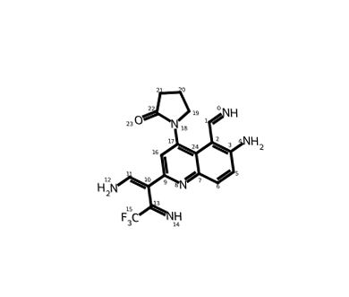 N=Cc1c(N)ccc2nc(/C(=C/N)C(=N)C(F)(F)F)cc(N3CCCC3=O)c12